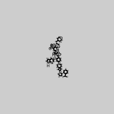 CC(C)c1ccccc1[C@@H]1CCCN1C1CC2(CCN(c3ccc(C(=O)NS(=O)(=O)c4cc([N+](=O)[O-])c5c(n4)OC[C@H](CC4CCOCC4)N5)c(Oc4cnc5[nH]ccc5c4)c3)CC2)C1